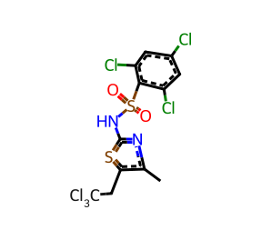 Cc1nc(NS(=O)(=O)c2c(Cl)cc(Cl)cc2Cl)sc1CC(Cl)(Cl)Cl